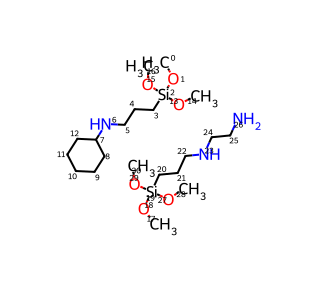 CO[Si](CCCNC1CCCCC1)(OC)OC.CO[Si](CCCNCCN)(OC)OC